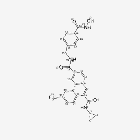 O=C(NC1CC1)C(=Cc1ccc(C(=O)NCc2ccc(C(=O)NO)cc2)cc1)c1ccc(C(F)(F)F)cc1